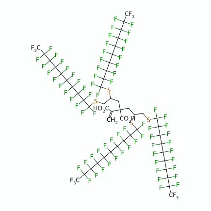 C=C(C(=O)O)C(CC(CSC(F)(F)C(F)(F)C(F)(F)C(F)(F)C(F)(F)C(F)(F)C(F)(F)C(F)(F)C(F)(F)C(F)(F)F)SC(F)(F)C(F)(F)C(F)(F)C(F)(F)C(F)(F)C(F)(F)C(F)(F)C(F)(F)C(F)(F)C(F)(F)F)(CC(CSC(F)(F)C(F)(F)C(F)(F)C(F)(F)C(F)(F)C(F)(F)C(F)(F)C(F)(F)C(F)(F)C(F)(F)F)SC(F)(F)C(F)(F)C(F)(F)C(F)(F)C(F)(F)C(F)(F)C(F)(F)C(F)(F)C(F)(F)C(F)(F)F)C(=O)O